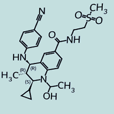 CC(O)N1c2ccc(C(=O)NCCS(C)(=O)=O)cc2[C@H](Nc2ccc(C#N)cc2)[C@@H](C)[C@@H]1C1CC1